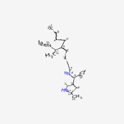 CCC(C)CCCC(CCCNC(CC)C1CNC(C)C1)C(C)NC